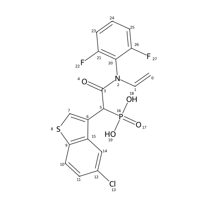 C=CN(C(=O)C(c1csc2ccc(Cl)cc12)P(=O)(O)O)c1c(F)cccc1F